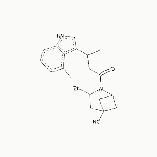 CCC1CC2(C#N)CC(C2)N1C(=O)CC(C)c1c[nH]c2cccc(C)c12